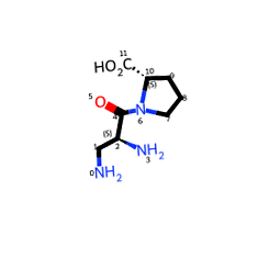 NC[C@H](N)C(=O)N1CCC[C@H]1C(=O)O